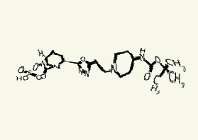 CC(C)(C)OC(=O)NC1CCN(CCc2nnc([C@@H]3CC[C@H]4CN3C(=O)N4OS(=O)(=O)O)o2)CC1